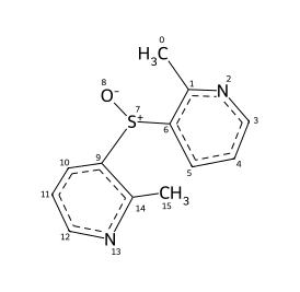 Cc1ncccc1[S+]([O-])c1cccnc1C